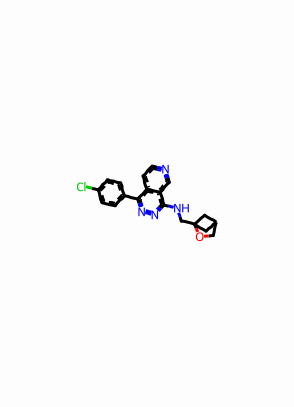 Clc1ccc(-c2nnc(NCC34CC(CO3)C4)c3cnccc23)cc1